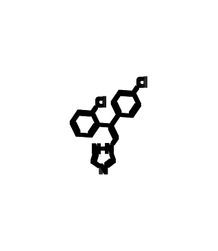 Clc1ccc(C(=Cn2cncn2)c2ccccc2Cl)cc1